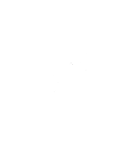 CC(C)OC(=O)NCC1CCCCC1.CCCC(=O)O